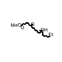 CC/C=C\C/C=C\CC(C)(O)\C=C/C=C/C=C/C(=O)C/C=C\CCC(=O)OC